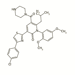 COc1ccc(OC)c(-n2c(CC(C)C)c(C(=O)N3CCNCC3)cc(-c3nc(-c4ccc(Cl)cc4)cs3)c2=O)c1